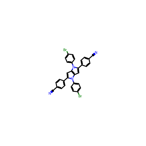 N#Cc1ccc(-c2cc3c(cc(-c4ccc(C#N)cc4)n3-c3ccc(Br)cc3)n2-c2ccc(Br)cc2)cc1